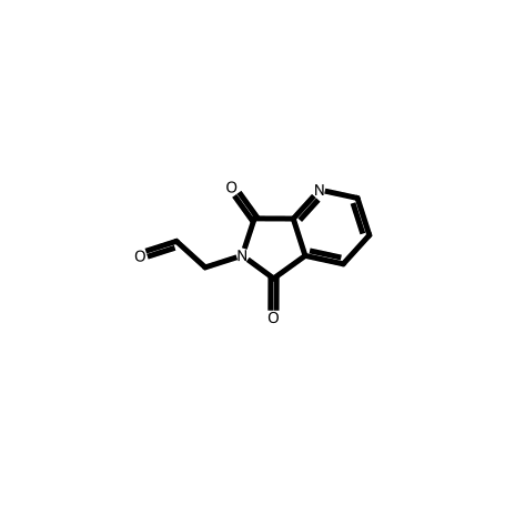 O=CCN1C(=O)c2cccnc2C1=O